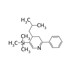 CC(C)CC1CC(c2ccccc2)=NC=C1[Si](C)(C)C